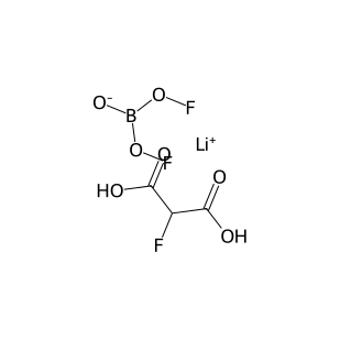 O=C(O)C(F)C(=O)O.[Li+].[O-]B(OF)OF